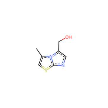 Cc1csc2ncc(CO)n12